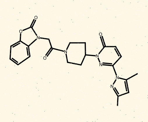 Cc1cc(C)n(-c2ccc(=O)n(C3CCN(C(=O)Cn4c(=O)oc5ccccc54)CC3)n2)n1